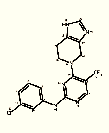 FC(F)(F)c1cnc(Nc2cccc(Cl)c2)nc1N1CCc2[nH]cnc2C1